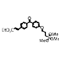 CCOC(=O)/C=C/c1ccc(C(=O)c2ccc(OCCC[Si](OC)(OC)OC)cc2)cc1